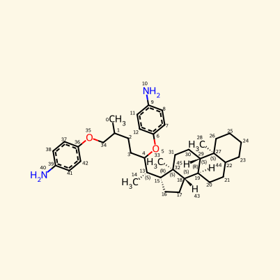 CC(CCC(Oc1ccc(N)cc1)[C@@H](C)[C@H]1CC[C@H]2[C@@H]3CCC4CCCC[C@]4(C)[C@H]3CC[C@]12C)COc1ccc(N)cc1